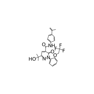 C=C(C)c1ccc(NC(=O)c2cc(C(C)(C)O)nn(-c3ccccc3OCC(F)(F)F)c2=O)cc1